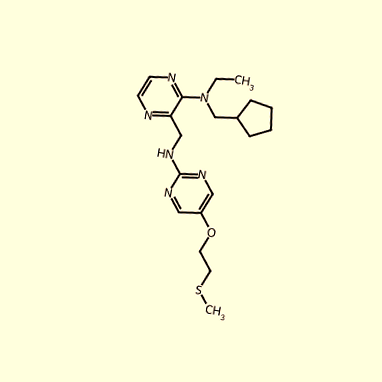 CCN(CC1CCCC1)c1nccnc1CNc1ncc(OCCSC)cn1